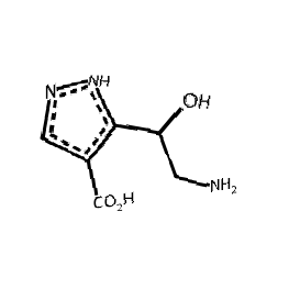 NCC(O)c1[nH]ncc1C(=O)O